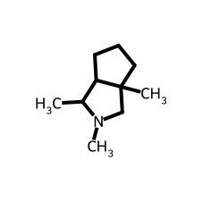 CC1C2CCCC2(C)CN1C